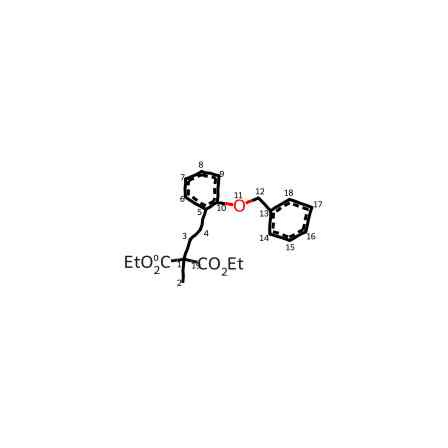 CCOC(=O)C(C)(CCc1ccccc1OCc1ccccc1)C(=O)OCC